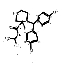 CC1(C(=O)OC(C(F)(F)F)C(F)(F)F)CNCCN1C(c1ccc(Cl)cc1)c1ccc(Cl)cc1